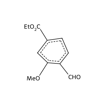 CCOC(=O)c1ccc(C=O)c(OC)c1